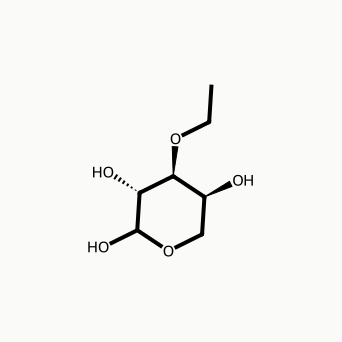 CCO[C@H]1[C@@H](O)COC(O)[C@@H]1O